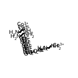 CC(=O)[O-].CC(=O)[O-].CC(=O)[O-].CC(=O)[O-].CC(=O)[O-].CC(=O)[O-].CC(=O)[O-].CC(=O)[O-].CC(=O)[O-].CC(=O)[O-].CC(=O)[O-].CC(=O)[O-].NCCN.NCCN.NCCN.[Co+3].[Co+3].[Co+3].[Co+3]